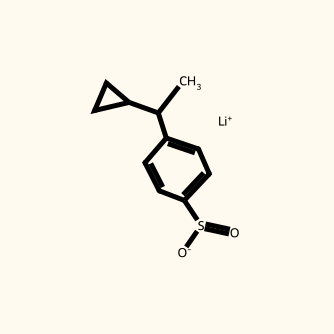 CC(c1ccc(S(=O)[O-])cc1)C1CC1.[Li+]